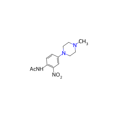 CC(=O)Nc1ccc(N2CCN(C)CC2)cc1[N+](=O)[O-]